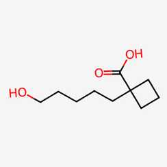 O=C(O)C1(CCCCCO)CCC1